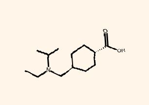 CCN(C[C@H]1CC[C@H](C(=O)O)CC1)C(C)C